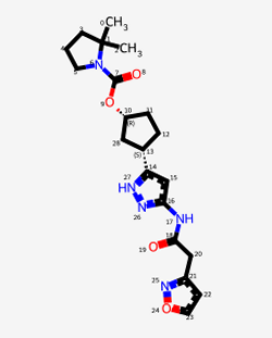 CC1(C)CCCN1C(=O)O[C@@H]1CC[C@H](c2cc(NC(=O)Cc3ccon3)n[nH]2)C1